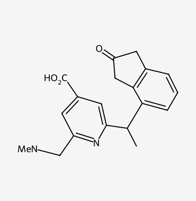 CNCc1cc(C(=O)O)cc(C(C)c2cccc3c2CC(=O)C3)n1